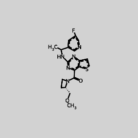 COC[C@@H]1CCN1C(=O)c1nc(NC(C)c2cncc(F)c2)nc2ccsc12